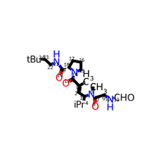 C/C(=C\C(C(C)C)N(C)C(=O)CNC=O)C(=O)N1CCC[C@H]1C(=O)NCCC(C)(C)C